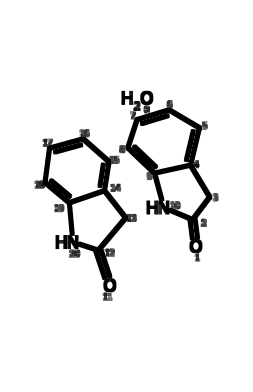 O.O=C1Cc2ccccc2N1.O=C1Cc2ccccc2N1